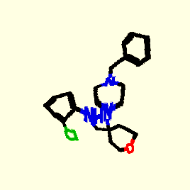 Clc1ccccc1NCC1(N2CCN(Cc3ccccc3)CC2)CCOCC1